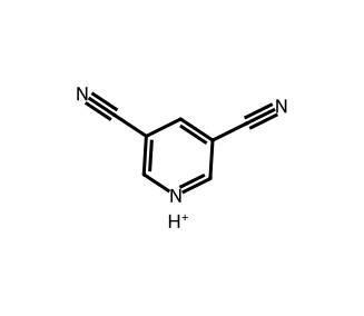 N#Cc1cncc(C#N)c1.[H+]